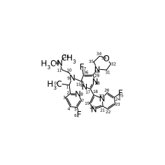 CC(c1ccc(F)cn1)N(CCN(C)C)c1nc(-c2cnc3ccc(F)cn23)nc(N2CCOCC2)c1F